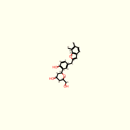 Cc1ccc2cc(Cc3ccc(O)c(C4CC(O)CC(CO)O4)c3)oc2c1C